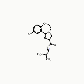 CN(C)/C=N/C(=O)C1CN2CCOc3ccc(Br)cc3C2=N1